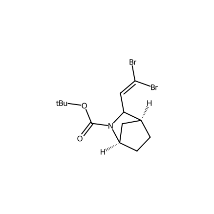 CC(C)(C)OC(=O)N1C(C=C(Br)Br)[C@H]2CC[C@@H]1C2